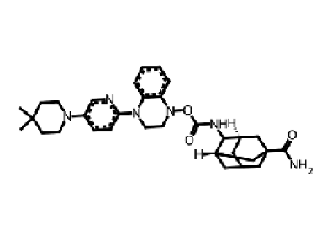 CC1(C)CCN(c2ccc(N3CCN(OC(=O)NC4[C@@H]5CC6C[C@H]4CC(C(N)=O)(C6)C5)c4ccccc43)nc2)CC1